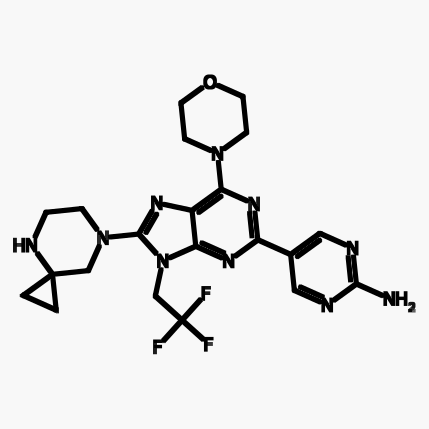 Nc1ncc(-c2nc(N3CCOCC3)c3nc(N4CCNC5(CC5)C4)n(CC(F)(F)F)c3n2)cn1